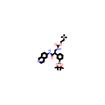 CC1(C)OB(c2cccc(C(CNC(=O)OCC[Si](C)(C)C)C(=O)Nc3ccc4cnccc4c3)c2)OC1(C)C